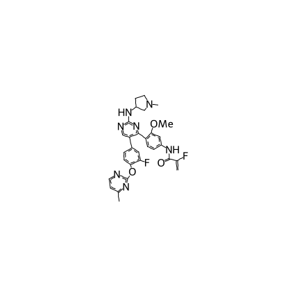 C=C(F)C(=O)Nc1ccc(-c2nc(NC3CCN(C)C3)ncc2-c2ccc(Oc3nccc(C)n3)c(F)c2)c(OC)c1